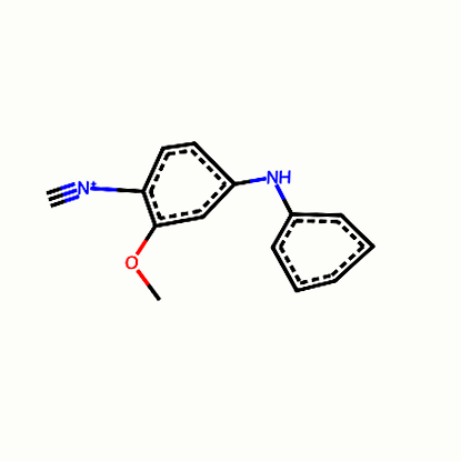 C#[N+]c1ccc(Nc2ccccc2)cc1OC